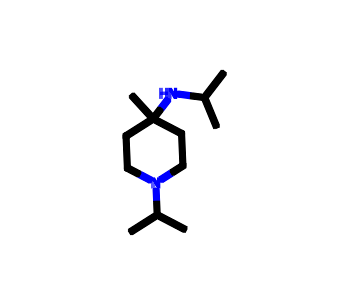 CC(C)NC1(C)CCN(C(C)C)CC1